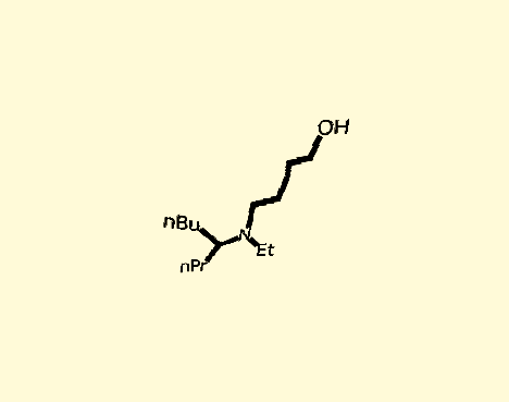 CCCCC(CCC)N(CC)CCCCO